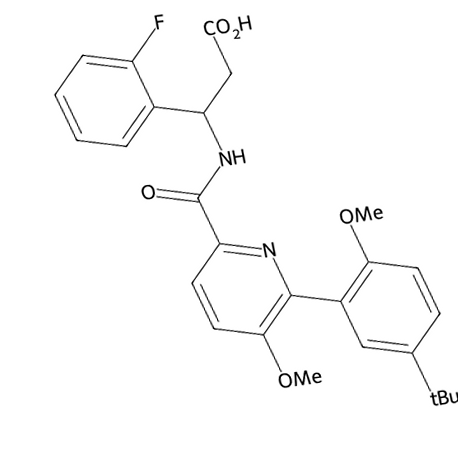 COc1ccc(C(C)(C)C)cc1-c1nc(C(=O)NC(CC(=O)O)c2ccccc2F)ccc1OC